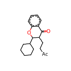 CC(=O)CCC1C(=O)c2ccccc2OC1C1CCCCC1